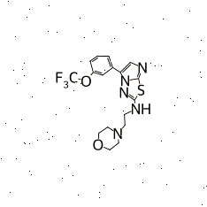 FC(F)(F)Oc1cccc(-c2cnc3sc(NCCN4CCOCC4)nn23)c1